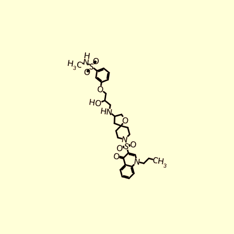 CCCn1cc(S(=O)(=O)N2CCC3(CC2)CC(NCC(O)COc2cccc(S(=O)(=O)NC)c2)CO3)c(=O)c2ccccc21